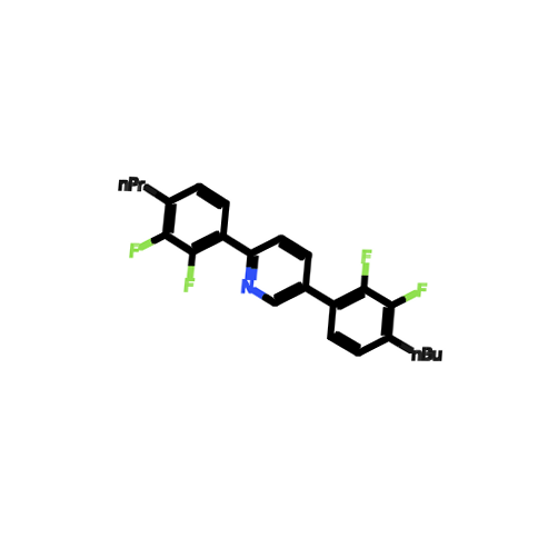 CCCCc1ccc(-c2ccc(-c3ccc(CCC)c(F)c3F)nc2)c(F)c1F